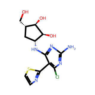 Nc1nc(Cl)c(-c2nccs2)c(N[C@@H]2C[C@H](CO)[C@@H](O)[C@H]2O)n1